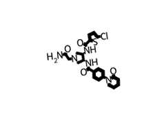 NC(=O)CN1C[C@@H](NC(=O)c2ccc(-n3ccccc3=O)cc2)[C@H](NC(=O)c2ccc(Cl)s2)C1